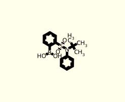 CC(C)(C)N(c1ccccc1)S(=O)(=O)c1ccccc1B(O)O